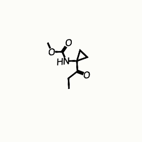 CCC(=O)C1(NC(=O)OC)CC1